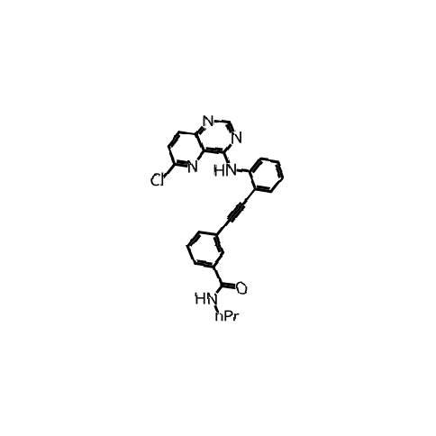 CCCNC(=O)c1cccc(C#Cc2ccccc2Nc2ncnc3ccc(Cl)nc23)c1